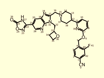 N#Cc1ccc(COc2cccc(C3CCN(Cc4nc5cc(-c6noc(=O)[nH]6)cnc5n4C[C@@H]4CCO4)CC3)n2)c(F)c1